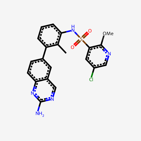 COc1ncc(Cl)cc1S(=O)(=O)Nc1cccc(-c2ccc3nc(N)ncc3c2)c1C